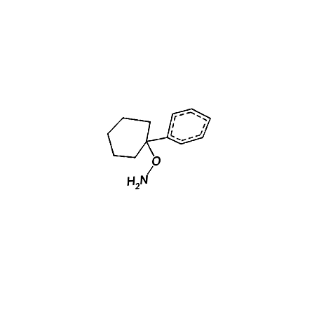 NOC1(c2ccccc2)CCCCC1